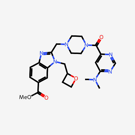 COC(=O)c1ccc2nc(CN3CCN(C(=O)c4cc(N(C)C)ncn4)CC3)n(CC3CCO3)c2c1